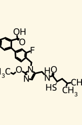 CCOc1ncc(CNC(=O)[C@@H](S)CC(C)C)n1Cc1ccc(-c2ccccc2C(=O)O)cc1F